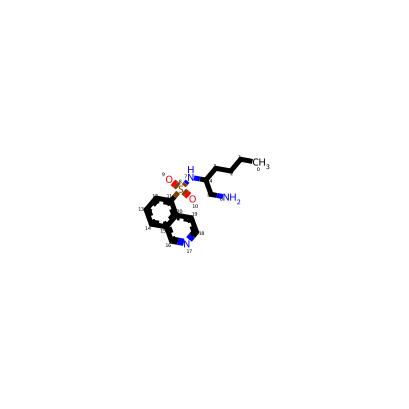 CCCCC(CN)NS(=O)(=O)c1cccc2cnccc12